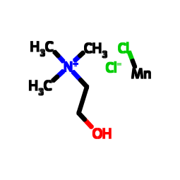 C[N+](C)(C)CCO.[Cl-].[Cl][Mn]